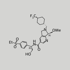 CCS(=O)(=O)c1ccc([C@H](CO)NC(=O)c2cnc3c(c2)CN(C[C@H]2CC[C@H](C(F)(F)F)CC2)[C@H]3COC)cc1